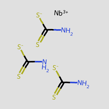 NC(=S)[S-].NC(=S)[S-].NC(=S)[S-].[Nb+3]